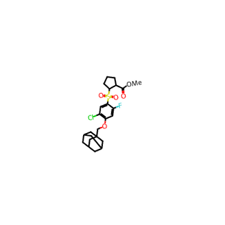 COC(=O)C1CCCC1S(=O)(=O)c1cc(Cl)c(OCC23CC4CC(CC(C4)C2)C3)cc1F